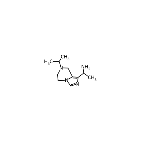 CC(N)c1ncn2c1CN(C(C)C)CC2